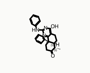 C[C@@H]1C(=O)CC[C@]2(c3ccccc3)c3nc(Nc4ccccc4)nc(O)c3CC[C@@H]12